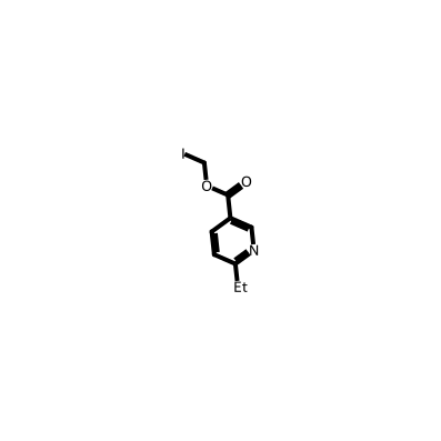 CCc1ccc(C(=O)OCI)cn1